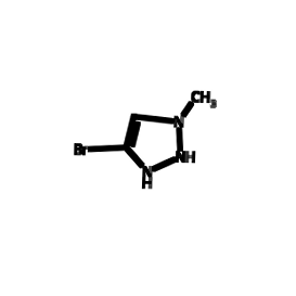 CN1C=C(Br)NN1